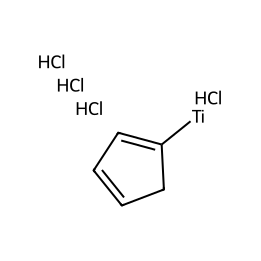 Cl.Cl.Cl.Cl.[Ti][C]1=CC=CC1